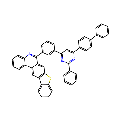 c1ccc(-c2ccc(-c3cc(-c4cccc(-c5nc6ccccc6c6cc7c(cc56)sc5ccccc57)c4)nc(-c4ccccc4)n3)cc2)cc1